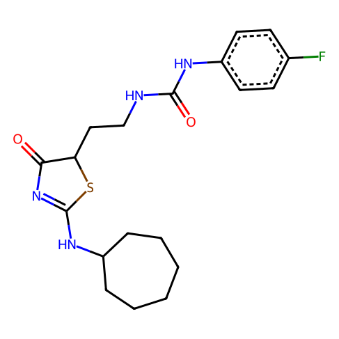 O=C(NCCC1SC(NC2CCCCCC2)=NC1=O)Nc1ccc(F)cc1